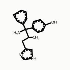 CC(Cc1c[nH]cn1)C(N)(c1ccccc1)c1ccc(O)cc1